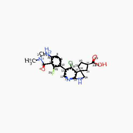 CN(C)C(=O)c1c(N)ccc(-c2cnc3c(c2Cl)[C@@]2(CC[C@@H](C(=O)O)C2)CN3)c1F